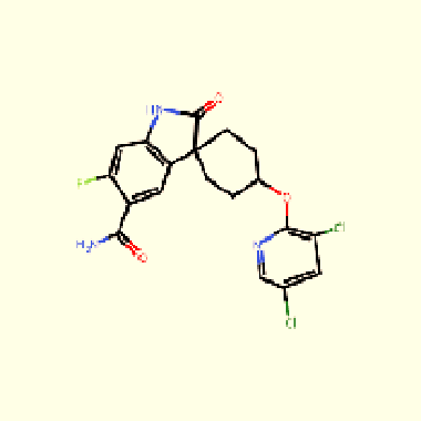 NC(=O)c1cc2c(cc1F)NC(=O)C21CCC(Oc2ncc(Cl)cc2Cl)CC1